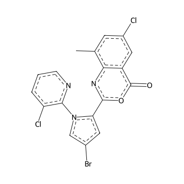 Cc1cc(Cl)cc2c(=O)oc(-c3cc(Br)cn3-c3ncccc3Cl)nc12